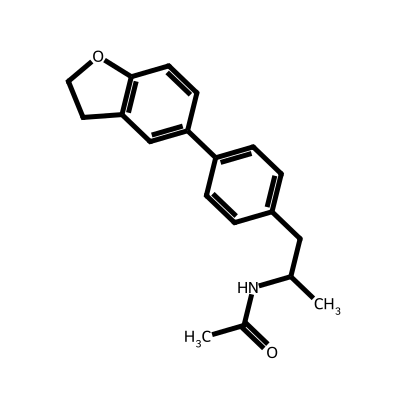 CC(=O)NC(C)Cc1ccc(-c2ccc3c(c2)CCO3)cc1